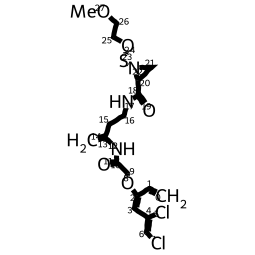 C=C/C(=C\C(Cl)=C\Cl)OCC(=O)NC(=C)CCNC(=O)C1CN1SOCCOC